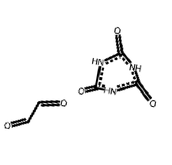 O=CC=O.O=c1[nH]c(=O)[nH]c(=O)[nH]1